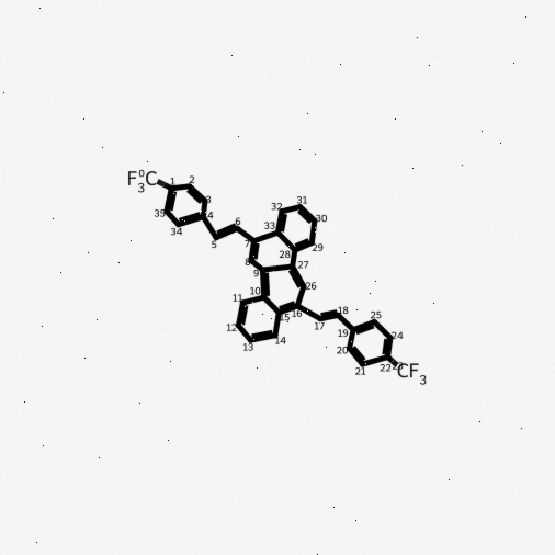 FC(F)(F)c1ccc(/C=C/c2cc3c4ccccc4c(/C=C/c4ccc(C(F)(F)F)cc4)cc3c3ccccc23)cc1